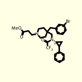 COC(=O)CCN1CCC(Cc2cccc(Br)c2)(CN(C(=O)C(F)(F)F)[C@@H]2CC2c2ccccc2)CC1